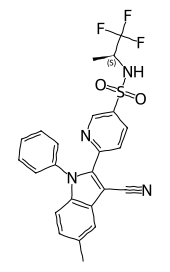 Cc1ccc2c(c1)c(C#N)c(-c1ccc(S(=O)(=O)N[C@@H](C)C(F)(F)F)cn1)n2-c1ccccc1